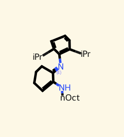 CCCCCCCCNC1=CCCC/C1=N\c1c(C(C)C)cccc1C(C)C